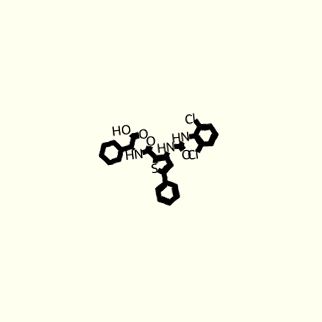 O=C(Nc1cc(-c2ccccc2)sc1C(=O)N[C@H](C(=O)O)C1CCCCC1)Nc1c(Cl)cccc1Cl